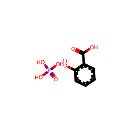 O=C(O)c1ccccc1O.O=P(O)(O)O